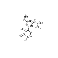 CCCNc1nc(N[C@H](CC)C(F)(F)F)nc(C2=C(F)C(O)[C@H](F)CC2)n1